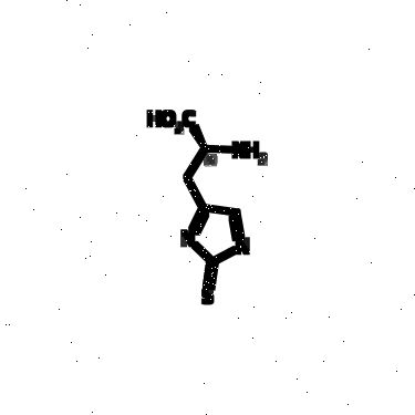 N[C@@H](CC1=NC(=S)N=C1)C(=O)O